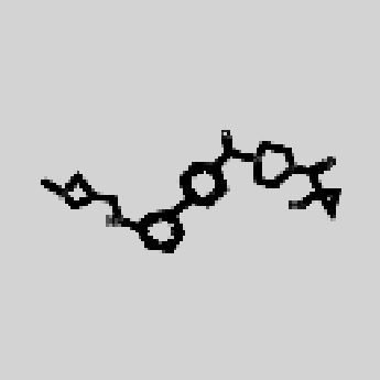 CN1CC(CNc2cccc(-c3ccc(C(=O)N4CCN(C(=O)C5(O)CC5)CC4)cc3)c2)C1